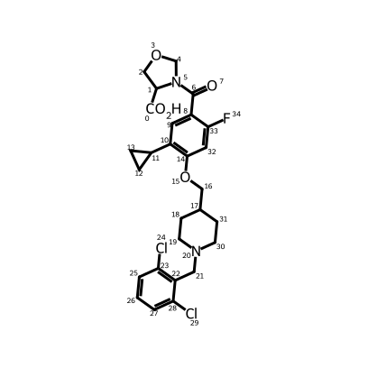 O=C(O)C1COCN1C(=O)c1cc(C2CC2)c(OCC2CCN(Cc3c(Cl)cccc3Cl)CC2)cc1F